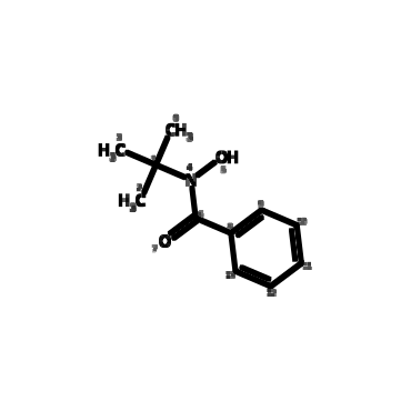 CC(C)(C)N(O)C(=O)c1ccccc1